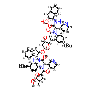 CC(C)(C)c1ccc(N(C(=O)C2CC3OC(O[C@H]4Cc5ccccc5[C@H]4NC(=O)C(c4cccnc4)N(C(=O)C4CC5CCOC5O4)c4ccc(C(C)(C)C)cc4)CC3O2)C(C(=O)N[C@@H]2c3ccccc3C[C@@H]2O)c2cccnc2)cc1